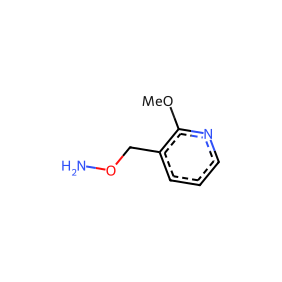 COc1ncccc1CON